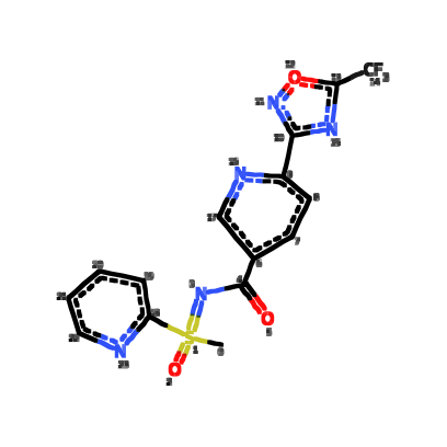 CS(=O)(=NC(=O)c1ccc(-c2noc(C(F)(F)F)n2)nc1)c1ccccn1